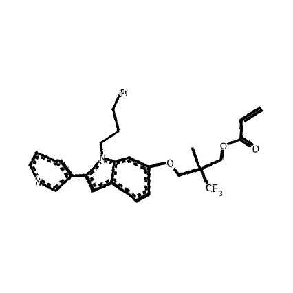 C=CC(=O)OCC(C)(COc1ccc2cc(-c3cccnc3)n(CCCC(C)C)c2c1)C(F)(F)F